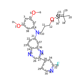 COc1cc(OC)cc(N(CCCO[Si](C)(C)C(C)(C)C)c2ccc3ncc(-c4ccnc(F)c4)nc3c2)c1